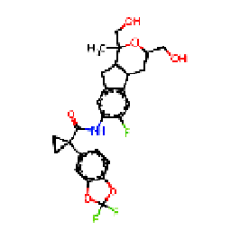 CC1(CO)O[C@@H](CO)CC2c3cc(F)c(NC(=O)C4(c5ccc6c(c5)OC(F)(F)O6)CC4)cc3CC21